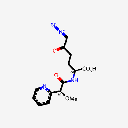 CO[C@H](C(=O)N[C@@H](CCC(=O)C=[N+]=[N-])C(=O)O)c1ccccn1